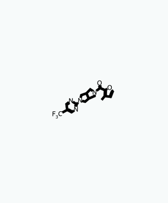 Cc1ccoc1C(=O)N1CC2CN(c3ncc(C(F)(F)F)cn3)CC2C1